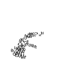 COC(=O)N[C@H](C(=O)N1CCC[C@H]1c1nc2cc([C@H]3CC[C@H](c4ccc5[nH]c([C@@H]6CCCN6C(=O)[C@@H](NC(=O)O)C(C)C)nc5c4)N3c3cc(F)c(OC)c(F)c3)ccc2[nH]1)C(C)C